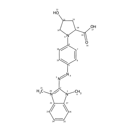 Cn1c(/N=N/c2ccc(N3CC(O)CC3C(=O)O)cc2)[n+](C)c2ccccc21